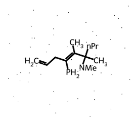 C=CC/C(P)=C(\C)C(C)(CCC)NC